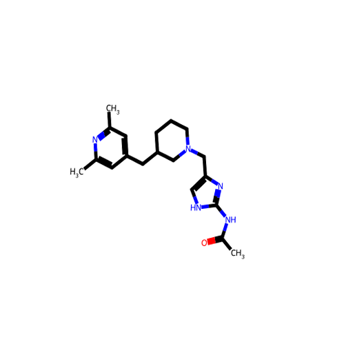 CC(=O)Nc1nc(CN2CCCC(Cc3cc(C)nc(C)c3)C2)c[nH]1